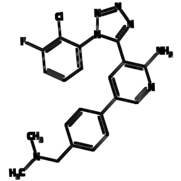 CN(C)Cc1ccc(-c2cnc(N)c(-c3nnnn3-c3cccc(F)c3Cl)c2)cc1